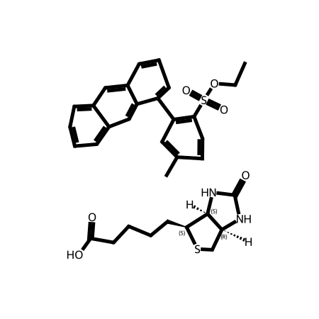 CCOS(=O)(=O)c1ccc(C)cc1-c1cccc2cc3ccccc3cc12.O=C(O)CCCC[C@@H]1SC[C@@H]2NC(=O)N[C@@H]21